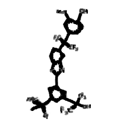 CCCC(C)(CC)c1cc(-c2nc3cc(C(c4ccc(O)c(NC)c4)(C(F)(F)F)C(F)(F)F)ccc3o2)cc(C(O)(C(F)(F)F)C(F)(F)F)c1